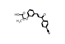 C[C@@H](Oc1cccc(/C=C/C(=O)c2ccc(C#N)cc2)c1)C(=O)O